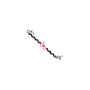 CCCCCCCCCOCOCC/C=C/C[CH2][Mg+].[I-]